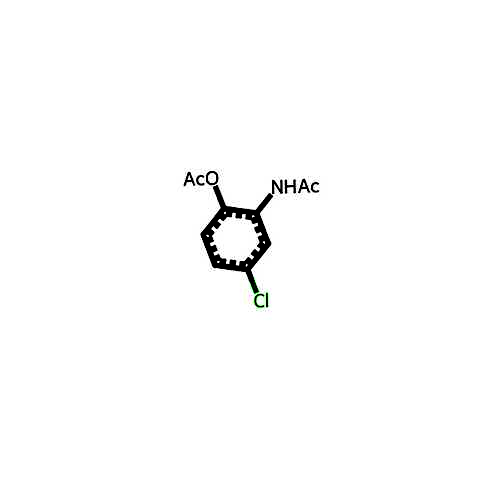 CC(=O)Nc1cc(Cl)ccc1OC(C)=O